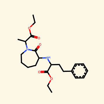 CCOC(=O)C(CCc1ccccc1)NC1CCCCN(C(C)C(=O)OCC)C1=O